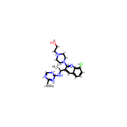 CNc1ncnc(N[C@@H](C)c2cc3cccc(Cl)c3nc2N2CCN(CCO)CC2)n1